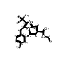 CCOC(=O)c1cc(C)n2c(Cc3ccc(F)cc3)c(C(F)(F)F)nc2c1